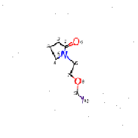 O=C1CCCN1CCOCI